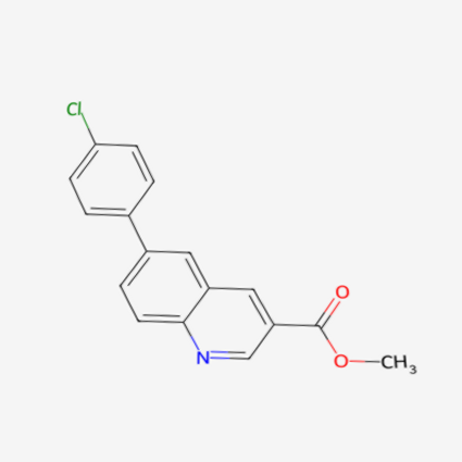 COC(=O)c1cnc2ccc(-c3ccc(Cl)cc3)cc2c1